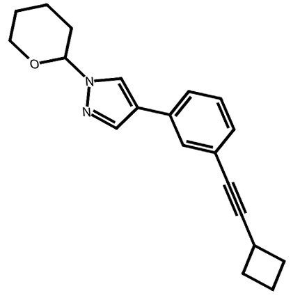 C(#CC1CCC1)c1cccc(-c2cnn(C3CCCCO3)c2)c1